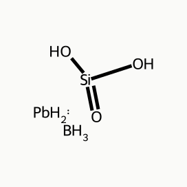 B.O=[Si](O)O.[PbH2]